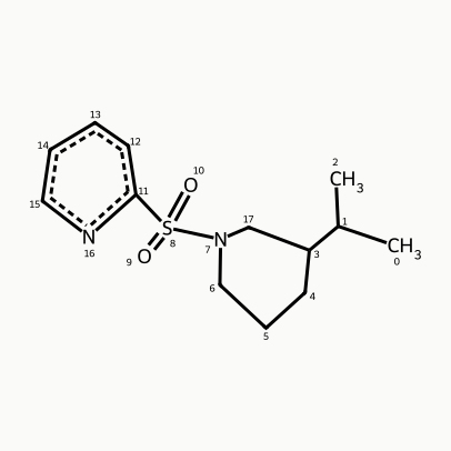 CC(C)C1CCCN(S(=O)(=O)c2ccccn2)C1